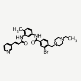 CCN1CCN(Cc2ccc(C(=O)Nc3ccc(C)c(NC(=O)/C=C/c4cccnc4)c3)cc2Br)CC1